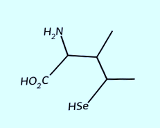 CC([SeH])C(C)C(N)C(=O)O